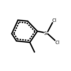 Cc1ccccc1[Si](Cl)Cl